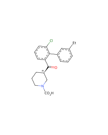 CCc1cccc(-c2c(Cl)cccc2C(=O)[C@@H]2CCCN(C(=O)O)C2)c1